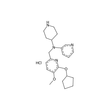 COc1ccc(CN(c2cccnc2)C2CCNCC2)nc1OC1CCCC1.Cl